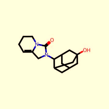 O=C1N2CCCC=C2CN1C1C2CC3CC1CC(O)(C3)C2